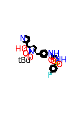 C[C@H](NS(=O)(=O)c1ccc(F)cc1)C(=O)Nc1ccc(C[C@@H]2CC[C@H]([C@H](O)c3cccnc3)N2C(=O)OC(C)(C)C)cc1